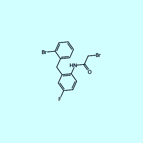 O=C(CBr)Nc1ccc(F)cc1Cc1ccccc1Br